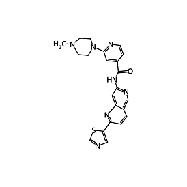 CN1CCN(c2cc(C(=O)Nc3cc4nc(-c5cncs5)ccc4cn3)ccn2)CC1